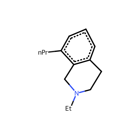 CCCc1cccc2c1CN(CC)CC2